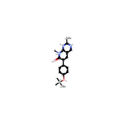 CSc1ncc2cc(-c3ccc(O[Si](C)(C)C(C)(C)C)cc3)c(=O)n(C)c2n1